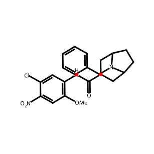 COc1cc([N+](=O)[O-])c(Cl)cc1NC(=O)C1CC2CCC(C1)N2Cc1ccccc1